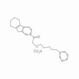 O=C(C[C@H](CCCCCc1ccccc1)C(=O)O)c1ccc2c(c1)CC1=C2CCCC1